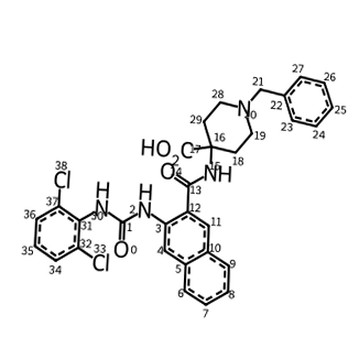 O=C(Nc1cc2ccccc2cc1C(=O)NC1(C(=O)O)CCN(Cc2ccccc2)CC1)Nc1c(Cl)cccc1Cl